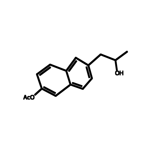 CC(=O)Oc1ccc2cc(CC(C)O)ccc2c1